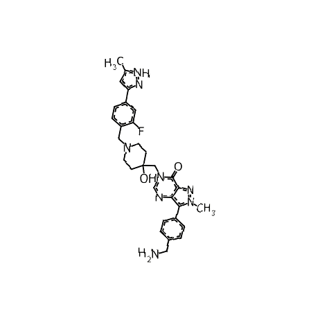 Cc1cc(-c2ccc(CN3CCC(O)(Cn4cnc5c(-c6ccc(CN)cc6)n(C)nc5c4=O)CC3)c(F)c2)n[nH]1